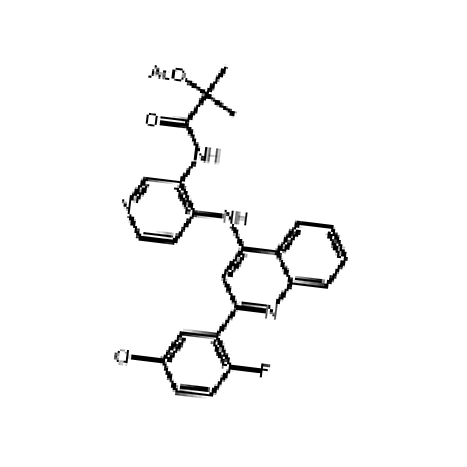 CC(=O)OC(C)(C)C(=O)Nc1cnccc1Nc1cc(-c2cc(Cl)ccc2F)nc2ccccc12